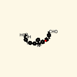 O=CCc1ccc(C[n+]2ccc(-c3ccc(-c4onc(-c5ccc(-c6cc[n+](Cc7ccc(CP(=O)(O)O)cc7)cc6)cc5)c4-c4ccccc4)cc3)cc2)cc1